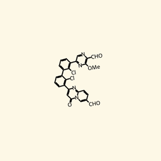 COc1nc(-c2cccc(-c3cccc(-c4cc(=O)n5cc(C=O)ccc5n4)c3Cl)c2Cl)cnc1C=O